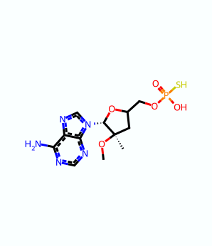 CO[C@]1(C)CC(COP(=O)(O)S)O[C@H]1n1cnc2c(N)ncnc21